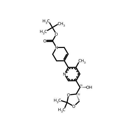 Cc1cc([C@H](O)[C@@H]2COC(C)(C)O2)cnc1C1=CCN(C(=O)OC(C)(C)C)CC1